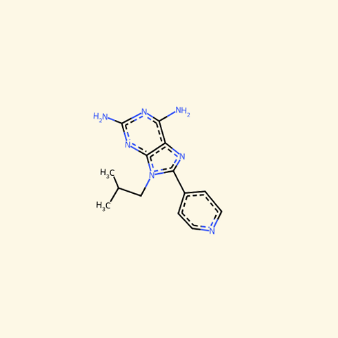 CC(C)Cn1c(-c2ccncc2)nc2c(N)nc(N)nc21